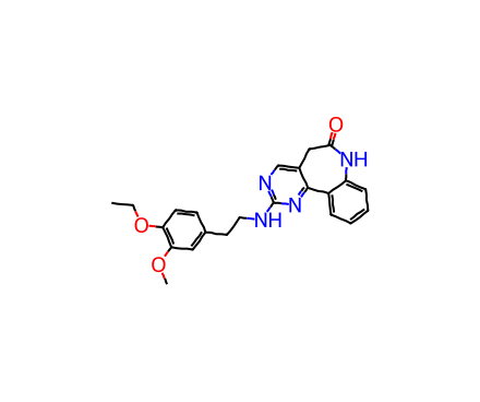 CCOc1ccc(CCNc2ncc3c(n2)-c2ccccc2NC(=O)C3)cc1OC